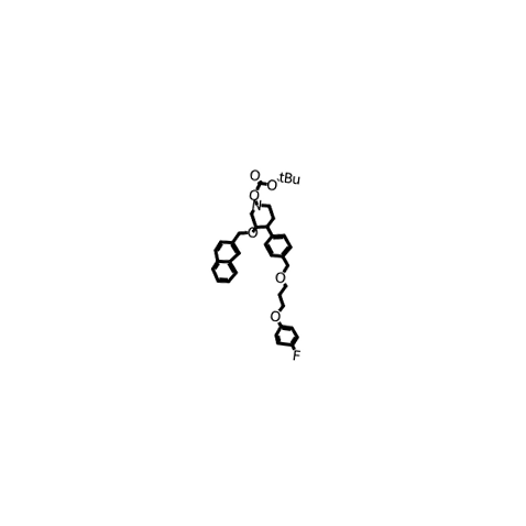 CC(C)(C)OC(=O)ON1CCC(c2ccc(COCCCOc3ccc(F)cc3)cc2)C(OCc2ccc3ccccc3c2)C1